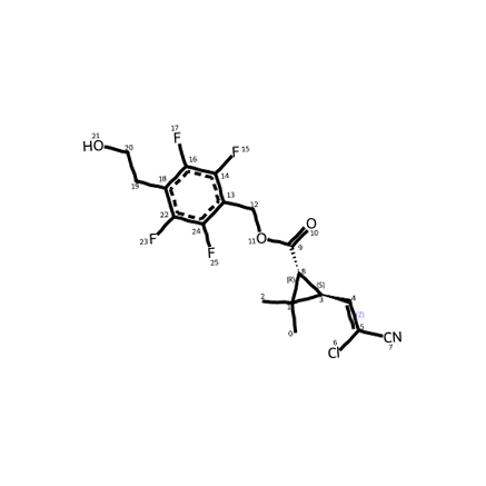 CC1(C)[C@H](/C=C(\Cl)C#N)[C@H]1C(=O)OCc1c(F)c(F)c(CCO)c(F)c1F